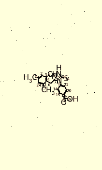 Cc1cc(C)c(Cc2n[nH]c(=S)n2-c2ccc(C(=O)O)cc2)c(C)c1